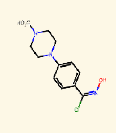 O=C(O)N1CCN(c2ccc(/C(Cl)=N\O)cc2)CC1